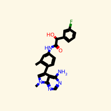 Cc1cc(NC(=O)C(O)c2cccc(F)c2)ccc1-c1cn(C)c2ncnc(N)c12